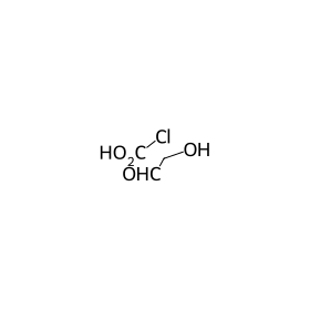 O=C(O)Cl.O=CCO